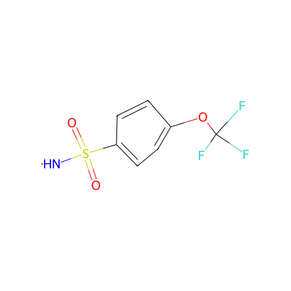 [NH]S(=O)(=O)c1ccc(OC(F)(F)F)cc1